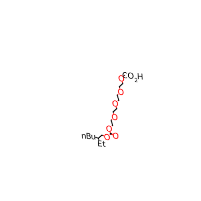 CCCCC(CC)COC(=O)OCCOCCOCCOCCOC(=O)O